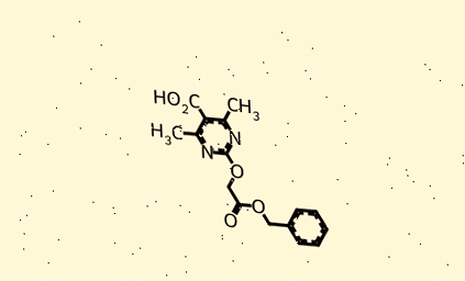 Cc1nc(OCC(=O)OCc2ccccc2)nc(C)c1C(=O)O